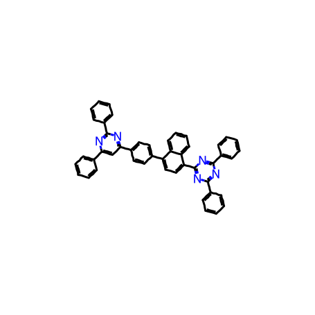 c1ccc(-c2cc(-c3ccc(-c4ccc(-c5nc(-c6ccccc6)nc(-c6ccccc6)n5)c5ccccc45)cc3)nc(-c3ccccc3)n2)cc1